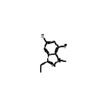 CCc1nn(C)c2c(F)cc(F)cc12